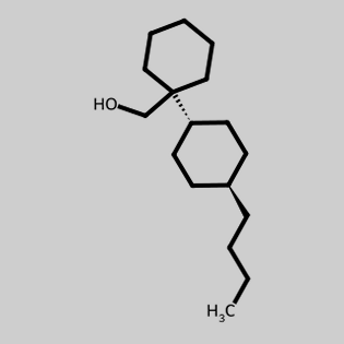 CCCC[C@H]1CC[C@H](C2(CO)CCCCC2)CC1